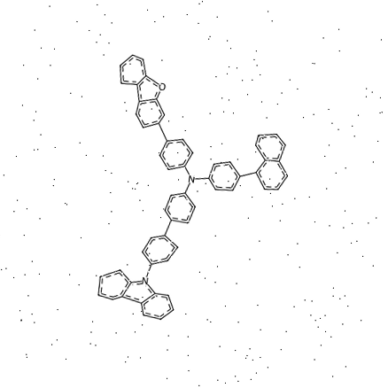 c1ccc2c(-c3ccc(N(c4ccc(-c5ccc(-n6c7ccccc7c7ccccc76)cc5)cc4)c4ccc(-c5ccc6c(c5)oc5ccccc56)cc4)cc3)cccc2c1